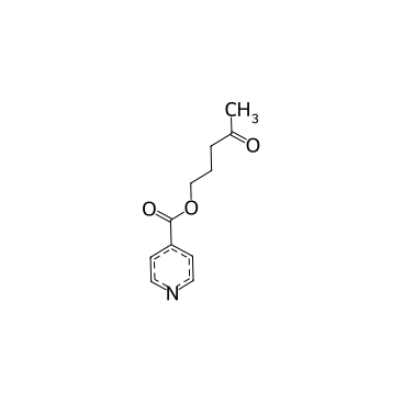 CC(=O)CCCOC(=O)c1ccncc1